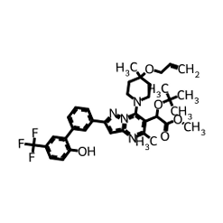 C=CCOC1(C)CCN(c2c(C(OC(C)(C)C)C(=O)OC)c(C)nc3cc(-c4cccc(-c5cc(C(F)(F)F)ccc5O)c4)nn23)CC1